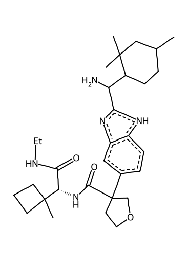 CCNC(=O)[C@H](NC(=O)C1(c2ccc3[nH]c(C(N)C4CCC(C)CC4(C)C)nc3c2)CCOC1)C1(C)CCC1